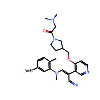 CNc1ccc(C)c(N(C)/C=C(\C=N)c2cnccc2OCC2CCN(C(=O)CN(C)C)C2)c1